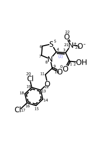 O=C(O)/C(=C1/SCCN1C(=O)COc1ccc(Cl)cc1Cl)[N+](=O)[O-]